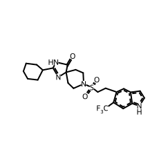 O=C1NC(C2CCCCC2)=NC12CCN(S(=O)(=O)CCc1cc3cc[nH]c3cc1C(F)(F)F)CC2